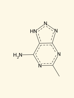 Cc1nc(N)c2[nH]nnc2n1